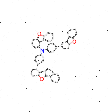 c1ccc2c(c1)ccc1c2oc2cccc(-c3ccc(N(c4ccc(-c5ccc6oc7ccccc7c6c5)cc4)c4cccc5oc6ccccc6c45)cc3)c21